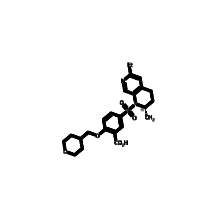 CCc1cc2c(cn1)N(S(=O)(=O)c1ccc(OCC3CCOCC3)c(C(=O)O)c1)[C@@H](C)CC2